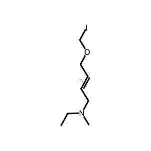 CCN(C)C/C=C/COCI